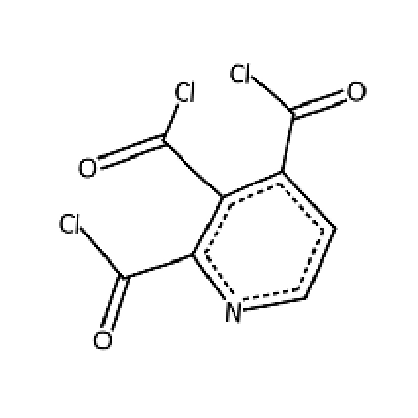 O=C(Cl)c1ccnc(C(=O)Cl)c1C(=O)Cl